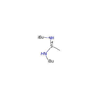 CCC(C)N[SiH](C)NC(C)CC